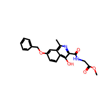 COC(=O)CNC(=O)c1nc(C)c2cc(OCc3ccccc3)ccc2c1O